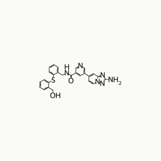 Nc1nc2cc(-c3cncc(C(=O)NCc4ccccc4Sc4ccccc4CO)c3)ccn2n1